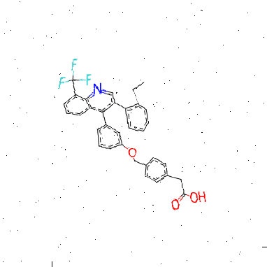 CCc1ccccc1-c1cnc2c(C(F)(F)F)cccc2c1-c1cccc(OCc2ccc(CC(=O)O)cc2)c1